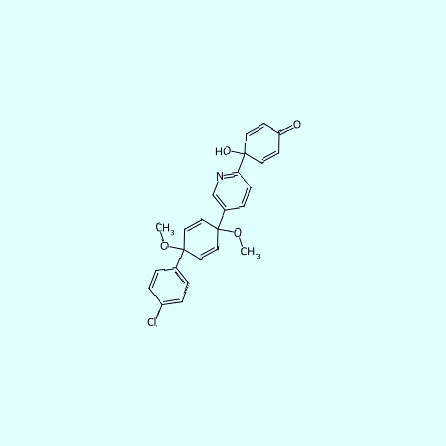 COC1(c2ccc(Cl)cc2)C=CC(OC)(c2ccc(C3(O)C=CC(=O)C=C3)nc2)C=C1